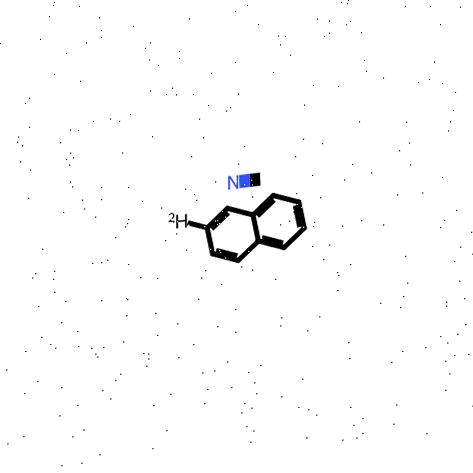 C#N.[2H]c1ccc2ccccc2c1